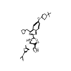 CC(C)c1ccc(C[C@H](NC(=O)c2cc3ccc(O[C@H]4CC[C@H](C(C)(C)C)CC4)cc3c(CC3CCCC3)n2)C(=O)O)s1